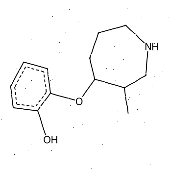 CC1CNCCCC1Oc1ccccc1O